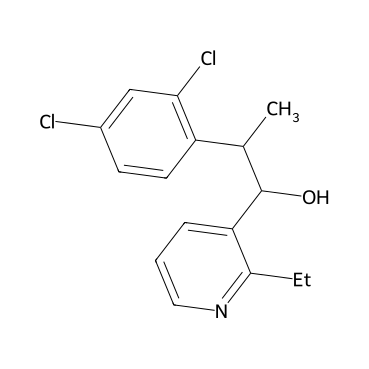 CCc1ncccc1C(O)C(C)c1ccc(Cl)cc1Cl